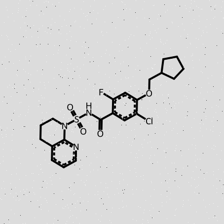 O=C(NS(=O)(=O)N1CCCc2cccnc21)c1cc(Cl)c(OCC2CCCC2)cc1F